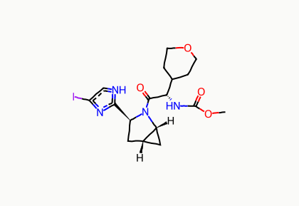 COC(=O)N[C@H](C(=O)N1[C@@H]2C[C@@H]2C[C@H]1c1nc(I)c[nH]1)C1CCOCC1